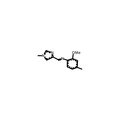 COc1cc(C)ccc1/N=C/c1cn(C)cn1